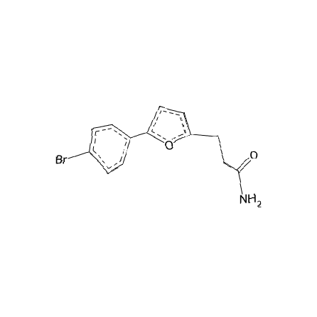 NC(=O)CCc1ccc(-c2ccc(Br)cc2)o1